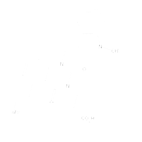 CCCC=Cc1cccc2c1c(=O)n(CCC(=O)O)c(=O)n2Cc1cn(C)c2ccccc12